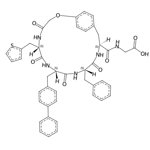 O=C(O)CNC(=O)[C@@H]1Cc2ccc(cc2)OCC(=O)N[C@@H](Cc2cccs2)C(=O)N[C@@H](Cc2ccc(-c3ccccc3)cc2)C(=O)N[C@@H](Cc2ccccc2)C(=O)N1